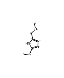 CCc1nnc(COC)[nH]1